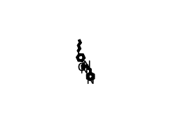 CCCCC[C@H]1CC[C@H](c2nc(Cc3ccncc3)no2)CC1